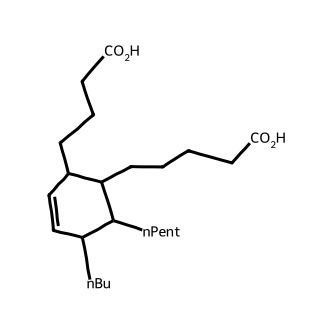 CCCCCC1C(CCCC)C=CC(CCCC(=O)O)C1CCCCC(=O)O